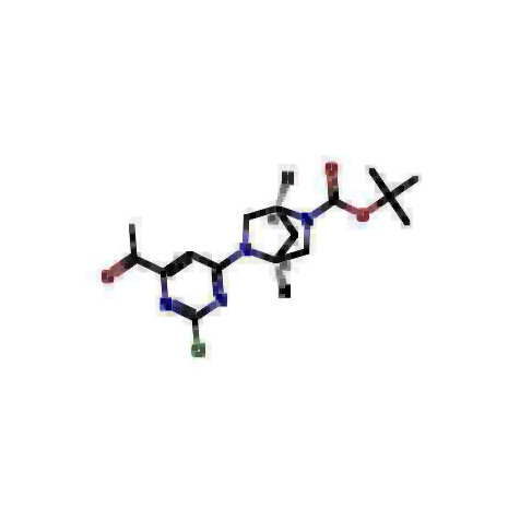 CC(=O)c1cc(N2C[C@@H]3C[C@H]2CN3C(=O)OC(C)(C)C)nc(Cl)n1